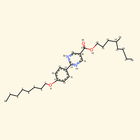 CCCCCCCCOc1ccc(-c2ncc(C(=O)OCCCC(C)CCCC)cn2)cc1